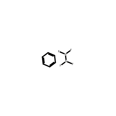 FN(F)N(F)F.c1ccccc1